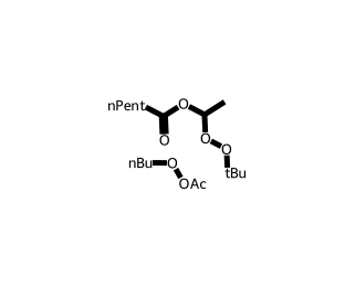 CCCCCC(=O)OC(C)OOC(C)(C)C.CCCCOOC(C)=O